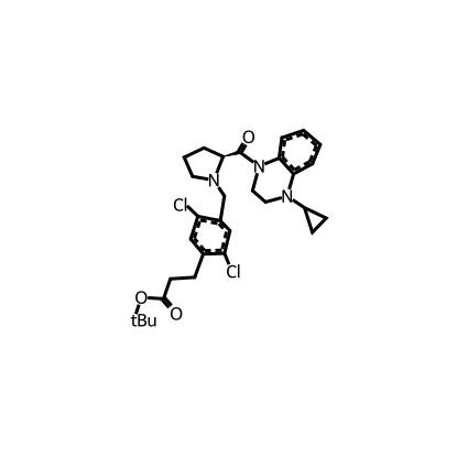 CC(C)(C)OC(=O)CCc1cc(Cl)c(CN2CCC[C@H]2C(=O)N2CCN(C3CC3)c3ccccc32)cc1Cl